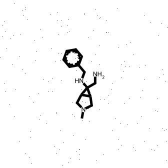 CN1CC2C(C1)C2(CN)NCc1ccccc1